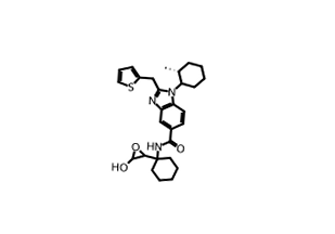 C[C@@H]1CCCCC1n1c(Cc2cccs2)nc2cc(C(=O)NC3(C4OC4O)CCCCC3)ccc21